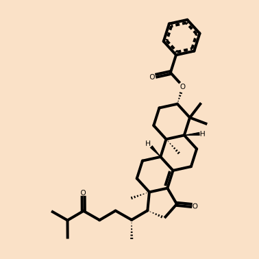 CC(C)C(=O)CC[C@@H](C)[C@H]1CC(=O)C2=C3CC[C@H]4C(C)(C)[C@@H](OC(=O)c5ccccc5)CC[C@]4(C)[C@H]3CC[C@@]21C